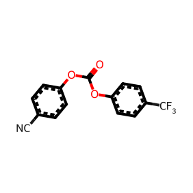 N#Cc1ccc(OC(=O)Oc2ccc(C(F)(F)F)cc2)cc1